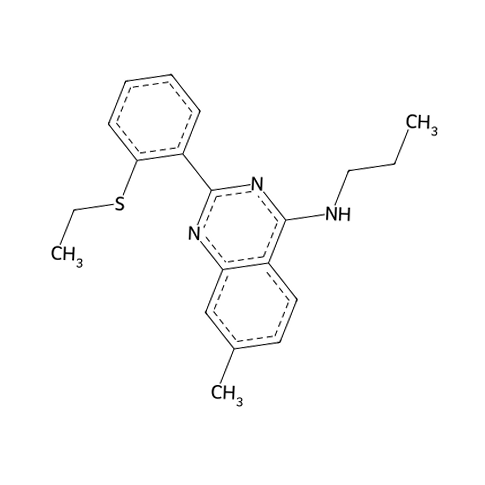 CCCNc1nc(-c2ccccc2SCC)nc2cc(C)ccc12